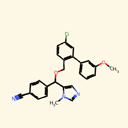 COc1cccc(-c2cc(Cl)ccc2COC(c2ccc(C#N)cc2)c2cncn2C)c1